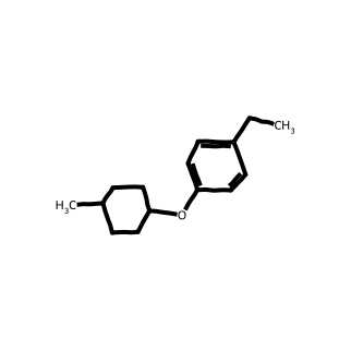 CCc1ccc(OC2CCC(C)CC2)cc1